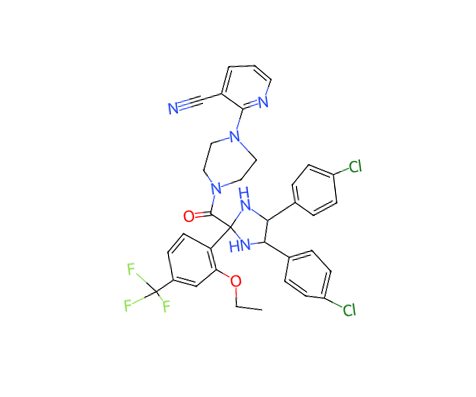 CCOc1cc(C(F)(F)F)ccc1C1(C(=O)N2CCN(c3ncccc3C#N)CC2)NC(c2ccc(Cl)cc2)C(c2ccc(Cl)cc2)N1